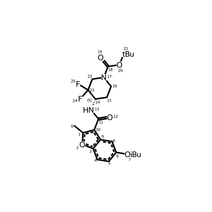 Cc1oc2ccc(OCC(C)C)cc2c1C(=O)N[C@H]1CCN(C(=O)OC(C)(C)C)CC1(F)F